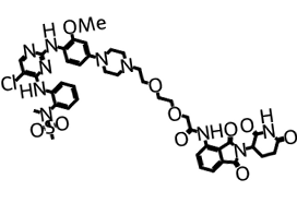 COc1cc(N2CCN(CCOCCOCC(=O)Nc3cccc4c3C(=O)N(C3CCC(=O)NC3=O)C4=O)CC2)ccc1Nc1ncc(Cl)c(Nc2ccccc2N(C)S(C)(=O)=O)n1